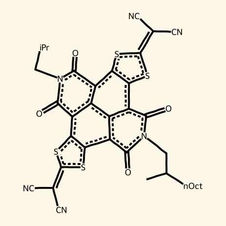 CCCCCCCCC(C)Cn1c(=O)c2c3sc(=C(C#N)C#N)sc3c3c(=O)n(CC(C)C)c(=O)c4c5sc(=C(C#N)C#N)sc5c(c1=O)c2c34